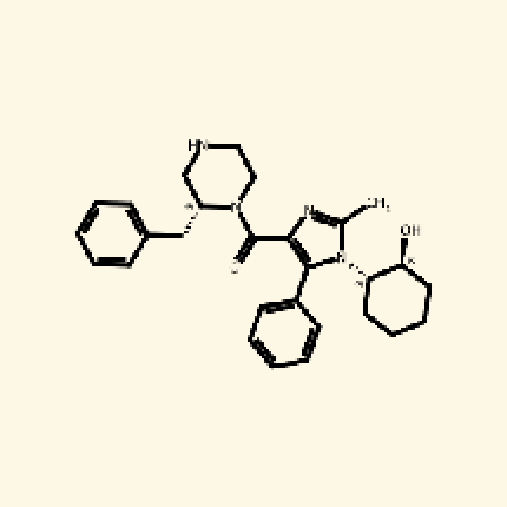 Cc1nc(C(=O)N2CCNC[C@H]2Cc2ccccc2)c(-c2ccccc2)n1[C@H]1CCCC[C@@H]1O